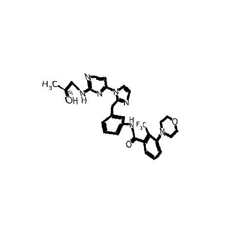 C[C@H](O)CNc1nccc(-n2ccnc2Cc2cccc(NC(=O)c3cccc(N4CCOCC4)c3C(F)(F)F)c2)n1